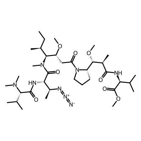 CC[C@H](C)[C@@H]([C@@H](CC(=O)N1CCC[C@H]1[C@H](OC)[C@@H](C)C(=O)N[C@H](C(=O)OC)C(C)C)OC)N(C)C(=O)[C@@H](NC(=O)[C@H](C(C)C)N(C)C)[C@H](C)N=[N+]=[N-]